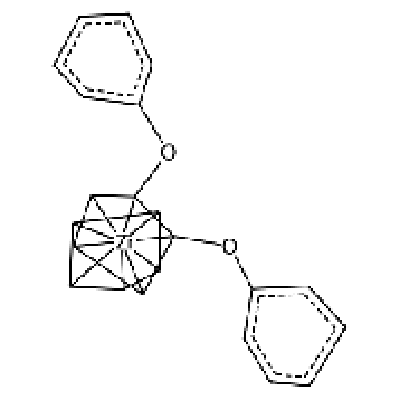 c1ccc(O[C]23[CH]4[CH]5[CH]6[C]2(Oc2ccccc2)[Zr]54632789[CH]3[CH]2[CH]7[CH]8[CH]39)cc1